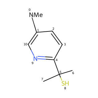 CNc1ccc(C(C)(C)S)nc1